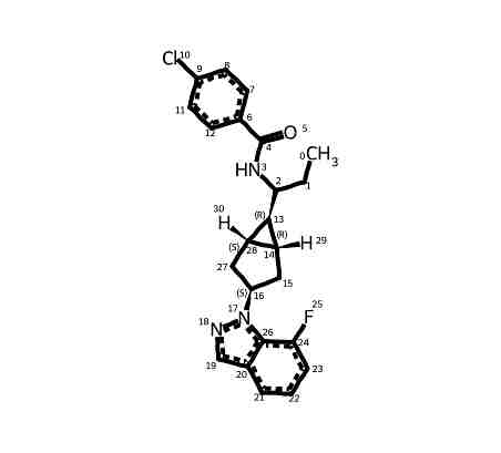 CCC(NC(=O)c1ccc(Cl)cc1)[C@H]1[C@@H]2C[C@@H](n3ncc4cccc(F)c43)C[C@@H]21